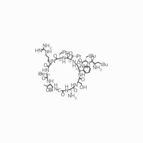 CC[C@H](C)[C@@H]1NC(=O)[C@@H](CCCNC(=N)N)NC(=O)[C@H](CC(C)C)NC(=O)[C@H]([C@H](O)C(C)C)NC(=O)[C@@H](NC(=O)[C@H](CC(C)(C)C)NC(=O)[C@H](N)CC(C)(C)C)[C@@H](c2ccccc2)NC(=O)C(CO)NC(=O)[C@H](CN)NC(=O)CNC(=O)[C@H]([C@H](C)O)NC1=O